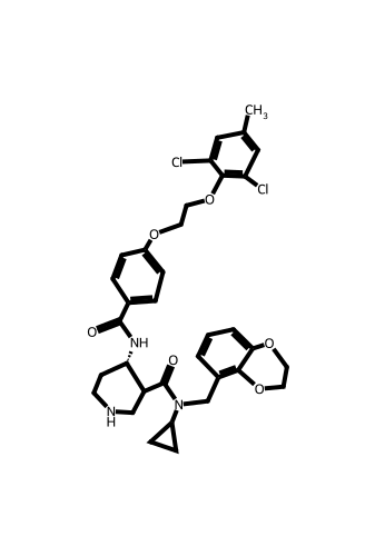 Cc1cc(Cl)c(OCCOc2ccc(C(=O)N[C@H]3CCNCC3C(=O)N(Cc3cccc4c3OCCO4)C3CC3)cc2)c(Cl)c1